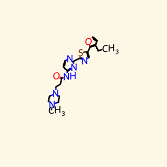 CCc1ccoc1-c1cnc(-c2nccc(NC(=O)CCN3CCN(C)CC3)n2)s1